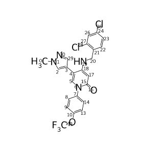 Cn1cc(-c2cn(-c3ccc(OC(F)(F)F)cc3)c(=O)cc2NCc2ccc(Cl)cc2Cl)cn1